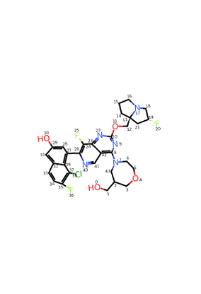 OCC1COCCN(c2nc(OC[C@@]34CCCN3C[C@H](F)C4)nc3c(F)c(-c4cc(O)cc5ccc(F)c(Cl)c45)ncc23)C1